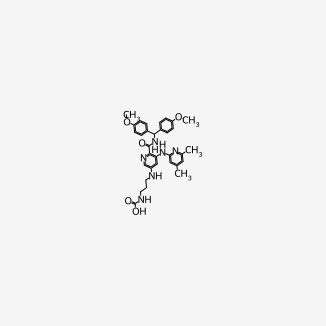 COc1ccc(C(NC(=O)c2ncc(NCCCNC(=O)O)cc2Nc2cc(C)cc(C)n2)c2ccc(OC)cc2)cc1